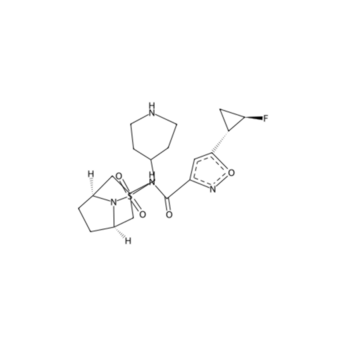 O=C(NC1C[C@H]2CC[C@@H](C1)N2S(=O)(=O)CC1CCNCC1)c1cc([C@@H]2C[C@H]2F)on1